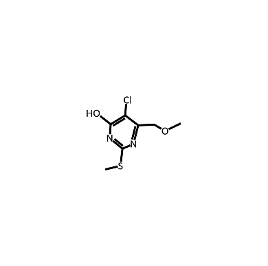 COCc1nc(SC)nc(O)c1Cl